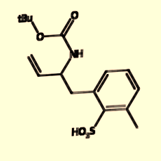 C=CC(Cc1cccc(C)c1S(=O)(=O)O)NC(=O)OC(C)(C)C